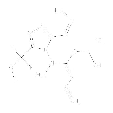 C=C/C=C(/O[C@@H](C)C(F)(F)F)N(C)n1c(/C=N\C)nnc1C(F)(F)OCC